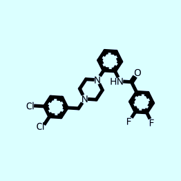 O=C(Nc1ccccc1N1CCN(Cc2ccc(Cl)c(Cl)c2)CC1)c1ccc(F)c(F)c1